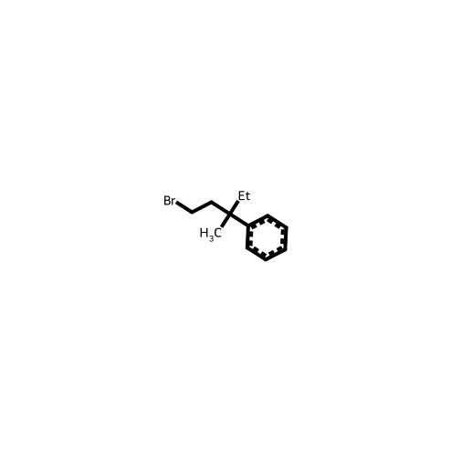 CCC(C)(CCBr)c1ccccc1